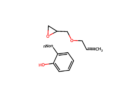 C=CCOCC1CO1.CCCCCCCCCc1ccccc1O